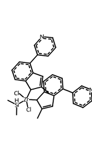 CC1=Cc2c(-c3cccnc3)cccc2[CH]1[Zr]([Cl])([Cl])([CH]1C(C)=Cc2c(-c3cccnc3)cccc21)[SiH](C)C